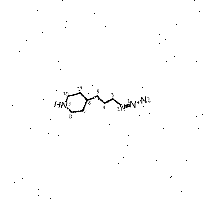 [N-]=[N+]=NCCCC1CCNCC1